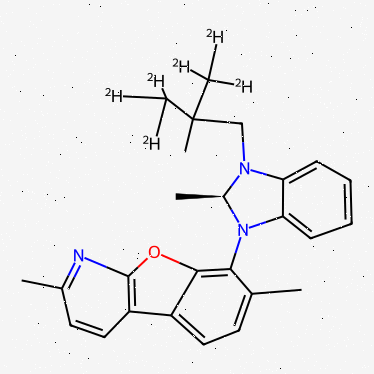 [2H]C([2H])([2H])C(C)(CN1c2ccccc2N(c2c(C)ccc3c2oc2nc(C)ccc23)[C@H]1C)C([2H])([2H])[2H]